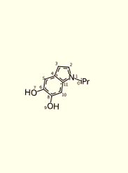 CC(C)n1ccc2cc(O)c(O)cc21